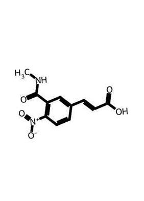 CNC(=O)c1cc(C=CC(=O)O)ccc1[N+](=O)[O-]